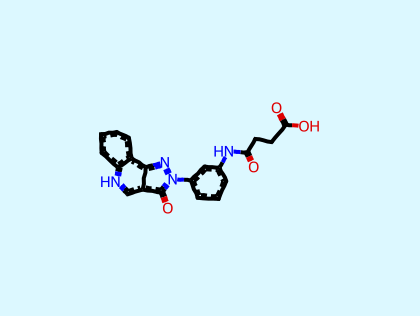 O=C(O)CCC(=O)Nc1cccc(-n2nc3c4ccccc4[nH]cc-3c2=O)c1